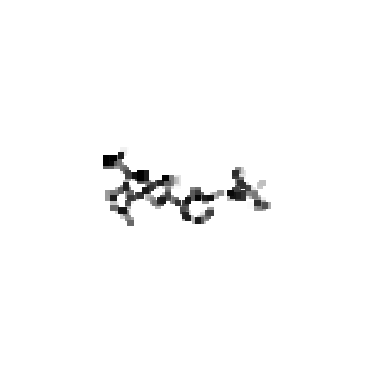 CNc1nc2[nH]c(-c3cccc(CNC(=O)[C@H](C)NC)n3)cc2c2c1ncn2C